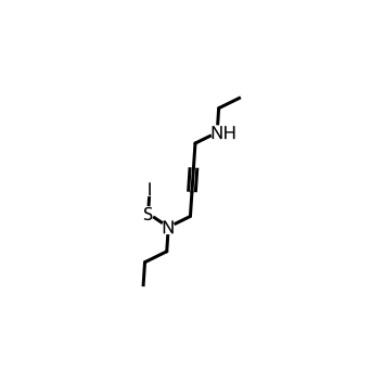 CCCN(CC#CCNCC)SI